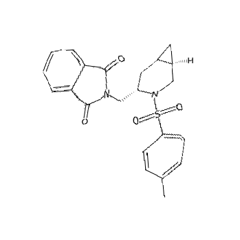 Cc1ccc(S(=O)(=O)N2C[C@@H]3CC3C[C@H]2CN2C(=O)c3ccccc3C2=O)cc1